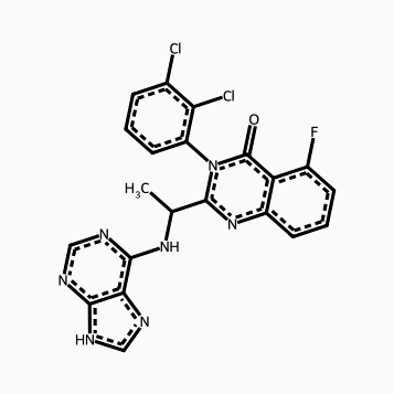 CC(Nc1ncnc2[nH]cnc12)c1nc2cccc(F)c2c(=O)n1-c1cccc(Cl)c1Cl